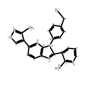 Cc1nocc1-c1ccc2nc(-c3cccnc3N)n(-c3ccc(CCl)cc3)c2n1